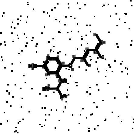 CCCC(CCC)Nc1nc(N)ncc1OC/C(C)=C/C(C)=N\C